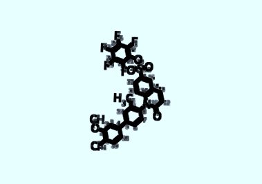 COc1cc(-c2ccc(-n3c(=O)ccc4cc(S(=O)(=O)Oc5c(F)c(F)c(F)c(F)c5F)ccc43)c(C)c2)ccc1Cl